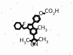 Cc1cc(-c2c(C)noc2C)cc2c1C(c1ccc(OCC(=O)O)cc1)=CC2CC1(F)CCCCC1